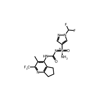 Cc1c(C(F)(F)F)nc2c(c1NC(=O)N=[S@@](N)(=O)c1cnn(C(F)F)c1)CCC2